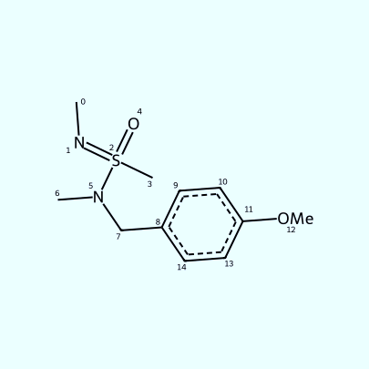 CN=S(C)(=O)N(C)Cc1ccc(OC)cc1